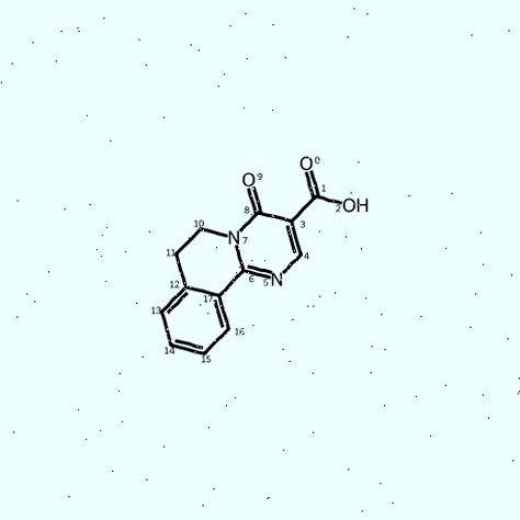 O=C(O)c1cnc2n(c1=O)CCc1ccccc1-2